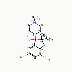 CN1CCC(C2(O)c3cc(F)cc(F)c3CC2(C)C)CC1